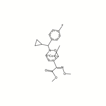 CON=C(C(=O)OC)c1cc2cc(C)c1ON2C(c1ccc(F)cc1)C1CC1